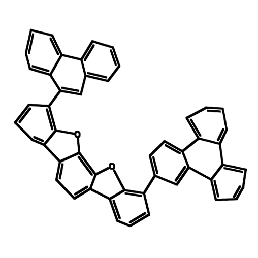 c1ccc2c(c1)cc(-c1cccc3c1oc1c3ccc3c4cccc(-c5ccc6c7ccccc7c7ccccc7c6c5)c4oc31)c1ccccc12